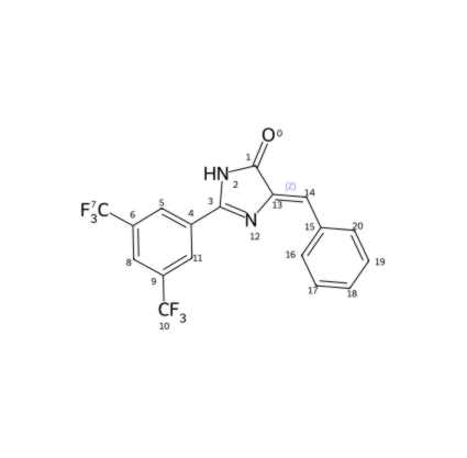 O=C1NC(c2cc(C(F)(F)F)cc(C(F)(F)F)c2)=N/C1=C\c1ccccc1